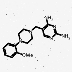 COc1ccccc1N1CCN(Cc2cnc(N)nc2N)CC1